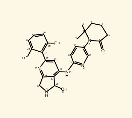 CC1(C)CCCC(=O)N1c1ccc(Nc2cc(-c3c(F)cccc3F)nc3c2C(O)NC3)nc1